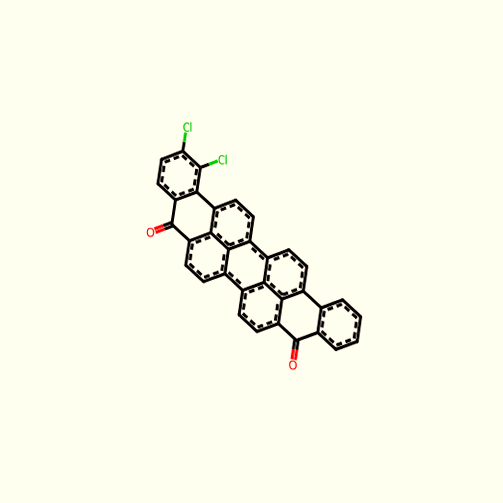 O=C1c2ccccc2-c2ccc3c4ccc5c6c(ccc(c7ccc1c2c73)c64)C(=O)c1ccc(Cl)c(Cl)c1-5